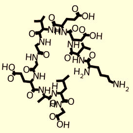 CC(C)CC(NC(=O)C(C)NC(=O)C(CCC(=O)O)NC(=O)CNC(=O)CNC(=O)C(NC(=O)C(CCC(=O)O)NC(=O)C(CC(=O)O)NC(=O)C(NC(=O)C(N)CCCCN)C(C)C)C(C)C)C(=O)NCC(=O)O